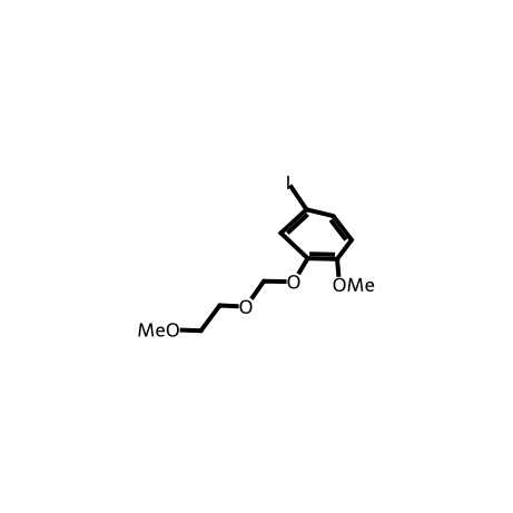 COCCOCOc1cc(I)ccc1OC